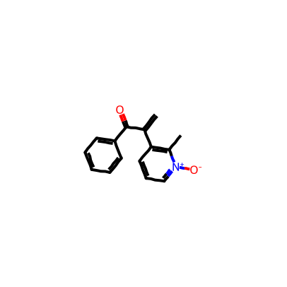 C=C(C(=O)c1ccccc1)c1ccc[n+]([O-])c1C